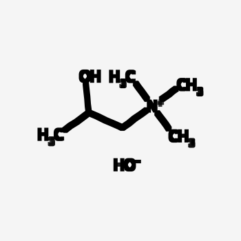 CC(O)C[N+](C)(C)C.[OH-]